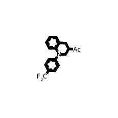 CC(=O)C1Cc2ccccc2N(c2ccc(C(F)(F)F)cc2)C1